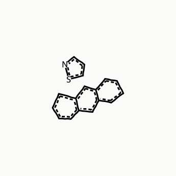 c1ccc2cc3ccccc3cc2c1.c1cnsc1